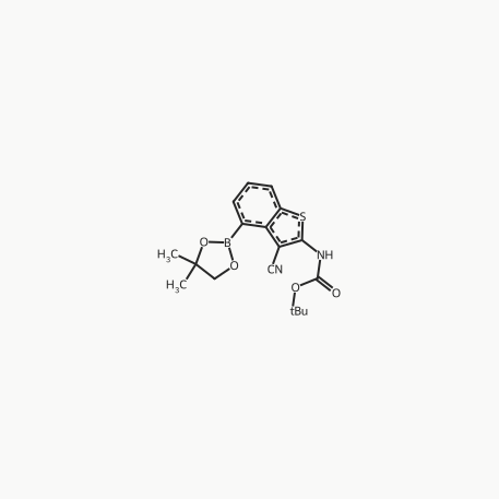 CC(C)(C)OC(=O)Nc1sc2cccc(B3OCC(C)(C)O3)c2c1C#N